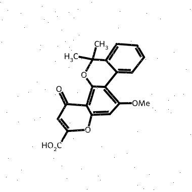 COc1cc2oc(C(=O)O)cc(=O)c2c2c1-c1ccccc1C(C)(C)O2